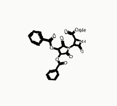 COC(=O)C1NC(=O)C1N1C(=O)C(OC(=O)c2ccccc2)C(OC(=O)c2ccccc2)C1=O